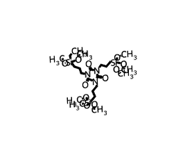 CC[Si](CCCn1c(=O)n(CCC[Si](OC)(OC)OC)c(=O)n(CCC[Si](OC)(OC)OC)c1=O)(OC)OC